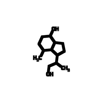 CC(CO)C1CCC2C(O)CCC(C)C12